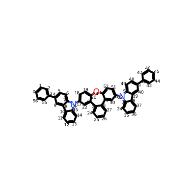 c1ccc(-c2ccc3c(c2)c2ccccc2n3-c2ccc3c(c2)-c2ccccc2-c2cc(-n4c5ccccc5c5cc(-c6ccccc6)ccc54)ccc2O3)cc1